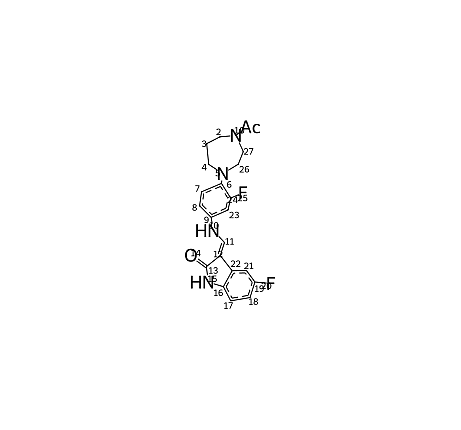 CC(=O)N1CCCN(c2ccc(NC=C3C(=O)Nc4ccc(F)cc43)cc2F)CC1